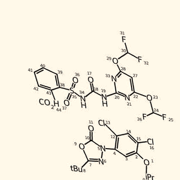 CC(C)Oc1cc(-n2nc(C(C)(C)C)oc2=O)c(Cl)cc1Cl.O=C(Nc1nc(OC(F)F)cc(OC(F)F)n1)NS(=O)(=O)c1ccccc1C(=O)O